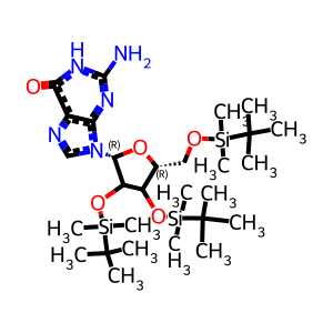 CC(C)(C)[Si](C)(C)OC[C@H]1O[C@@H](n2cnc3c(=O)[nH]c(N)nc32)C(O[Si](C)(C)C(C)(C)C)C1O[Si](C)(C)C(C)(C)C